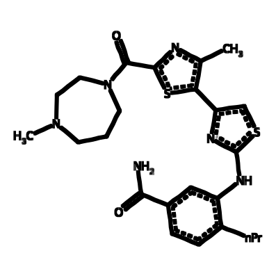 CCCc1ccc(C(N)=O)cc1Nc1nc(-c2sc(C(=O)N3CCCN(C)CC3)nc2C)cs1